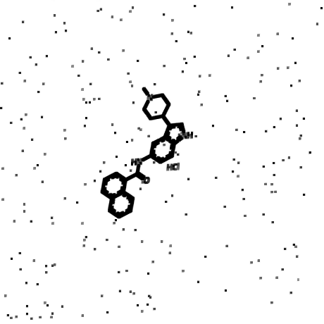 CN1CCC(c2c[nH]c3ccc(NC(=O)c4cccc5ccccc45)cc23)CC1.Cl